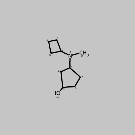 CN(C1CCC1)C1CCC(O)C1